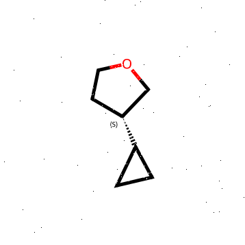 C1C[C@@H](C2CC2)CO1